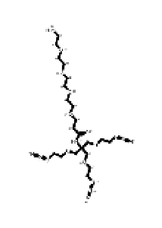 [N-]=[N+]=NCCOCC(COCCN=[N+]=[N-])(COCCN=[N+]=[N-])NC(=O)CCOCCOCCOCCOCCN